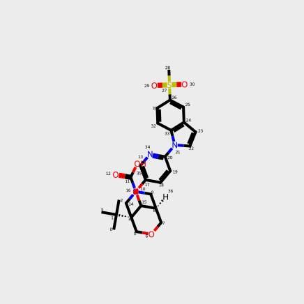 CC(C)(C)[C@]12COC[C@H](CN(C(=O)O)C1)C2Oc1ccc(-n2ccc3cc(S(C)(=O)=O)ccc32)nc1